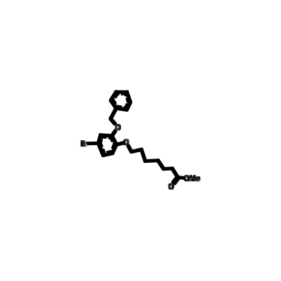 COC(=O)CCCCCCOc1ccc(Br)cc1OCc1ccccc1